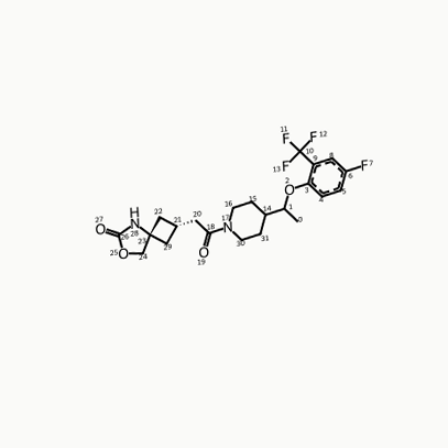 CC(Oc1ccc(F)cc1C(F)(F)F)C1CCN(C(=O)C[C@H]2C[C@]3(COC(=O)N3)C2)CC1